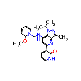 COC1C=CC=CN1CNc1cc(-c2ccc[nH]c2=O)nc2c(C)nn(C(C)C)c12